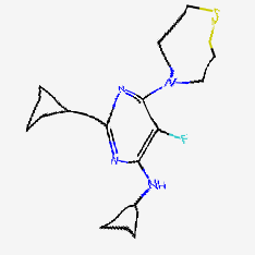 Fc1c(NC2CC2)nc(C2CC2)nc1N1CCSCC1